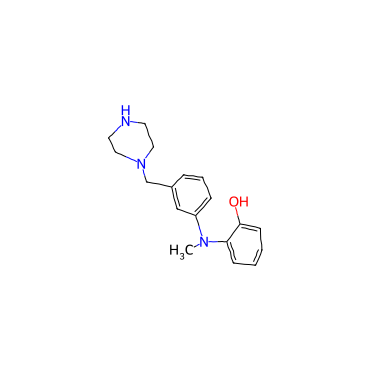 CN(c1cccc(CN2CCNCC2)c1)c1ccccc1O